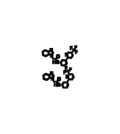 O=C(Cn1cnc2ccccc21)Nc1cccc(-c2ccc(C(F)(F)F)cn2)c1.O=C(Cn1cnc2ccccc21)Nc1cccc(-c2cccc(C(F)(F)F)n2)c1